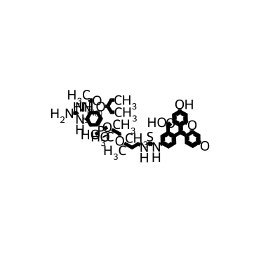 CCC(CC)O[C@@H]1C=C(P(=O)(O)OC(C)(C)COC(C)(C)CCNC(=S)Nc2ccc(-c3c4ccc(=O)cc-4oc4cc(O)ccc34)c(C(=O)O)c2)C[C@H](NC(=N)N)[C@H]1NC(C)=O